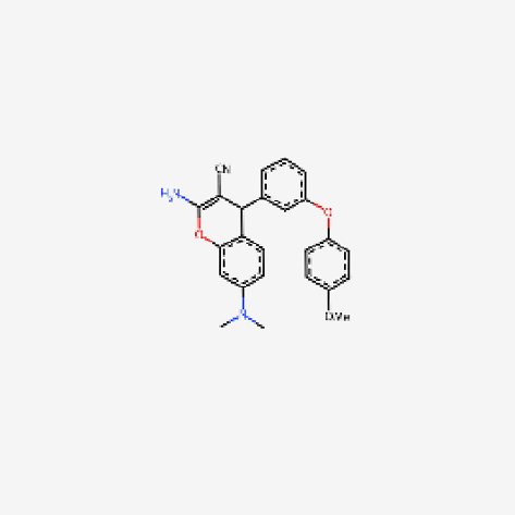 COc1ccc(Oc2cccc(C3C(C#N)=C(N)Oc4cc(N(C)C)ccc43)c2)cc1